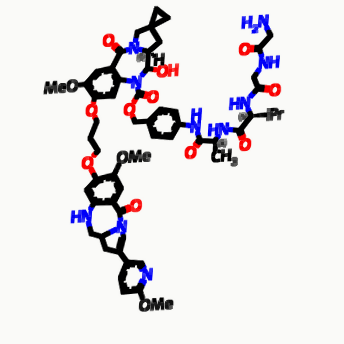 COc1ccc(C2=CN3C(=O)c4cc(OC)c(OCCCOc5cc6c(cc5OC)C(=O)N5CC7(CC7)C[C@H]5C(O)N6C(=O)OCc5ccc(NC(=O)[C@H](C)NC(=O)[C@@H](NC(=O)CNC(=O)CN)C(C)C)cc5)cc4NCC3C2)cn1